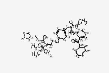 COC(=O)[C@H](Cc1ccc(OCCN(C(=O)CCC2CCCC2)C(C)(C)C)cc1)Nc1ccccc1C(=O)c1ccccc1